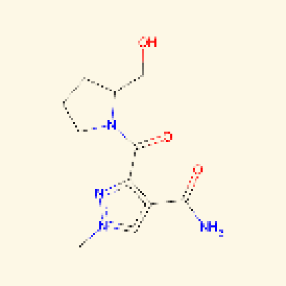 Cn1cc(C(N)=O)c(C(=O)N2CCCC2CO)n1